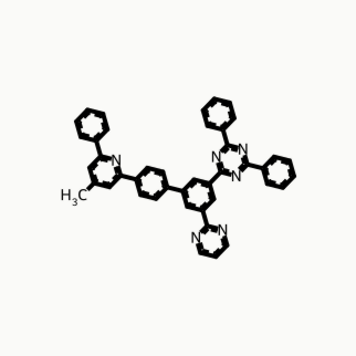 Cc1cc(-c2ccccc2)nc(-c2ccc(-c3cc(-c4ncccn4)cc(-c4nc(-c5ccccc5)nc(-c5ccccc5)n4)c3)cc2)c1